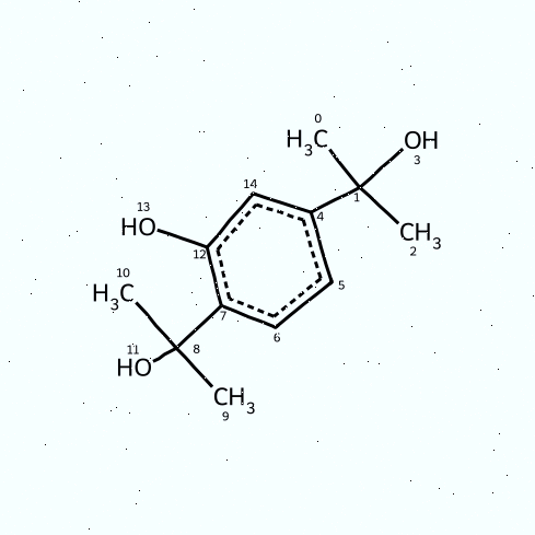 CC(C)(O)c1ccc(C(C)(C)O)c(O)c1